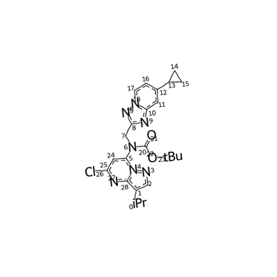 CC(C)c1cnn2c(N(Cc3nc4cc(C5CC5)ccn4n3)C(=O)OC(C)(C)C)cc(Cl)nc12